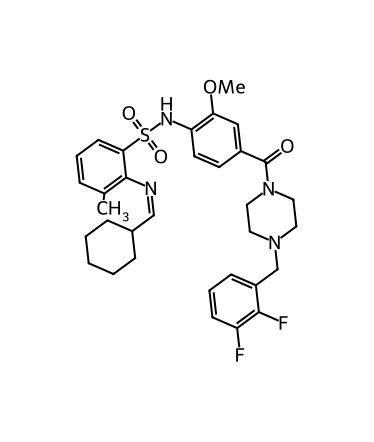 COc1cc(C(=O)N2CCN(Cc3cccc(F)c3F)CC2)ccc1NS(=O)(=O)c1cccc(C)c1/N=C\C1CCCCC1